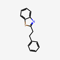 c1ccc(CCc2nc3ccccc3s2)cc1